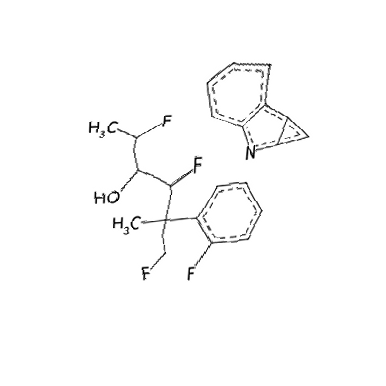 CC(F)C(O)C(F)C(C)(CF)c1ccccc1F.c1ccc2c3cc-3nc2c1